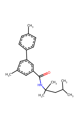 Cc1ccc(-c2cc(C)cc(C(=O)NC(C)(C)CC(C)C)c2)cc1